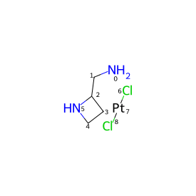 NCC1CCN1.[Cl][Pt][Cl]